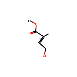 CCOC(=O)/C(C)=C/CO